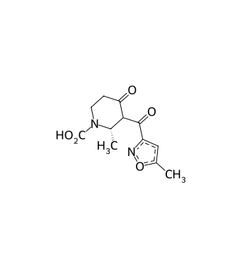 Cc1cc(C(=O)C2C(=O)CCN(C(=O)O)[C@H]2C)no1